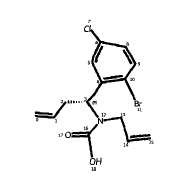 C=CC[C@H](c1cc(Cl)ccc1Br)N(CC=C)C(=O)O